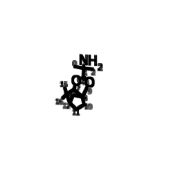 CC(C)(N)C(=O)OC1C2(C)CCC(C2)C1(C)C